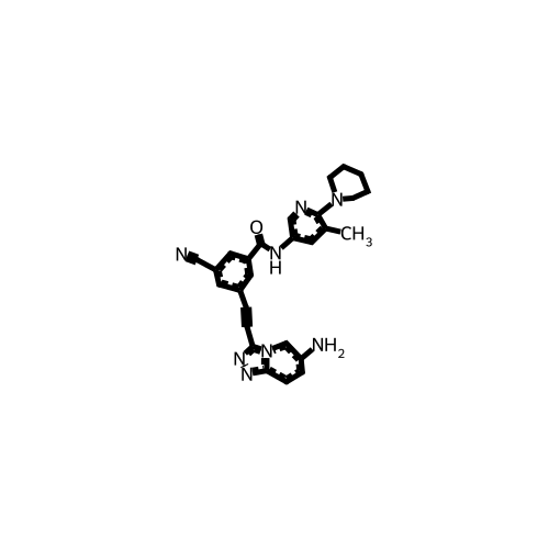 Cc1cc(NC(=O)c2cc(C#N)cc(C#Cc3nnc4ccc(N)cn34)c2)cnc1N1CCCCC1